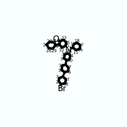 Brc1ccc(-c2ccc(-c3ccc(N(c4ccccc4)c4ccc5oc6ccccc6c5c4)cc3)cc2)cc1